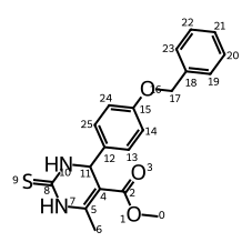 COC(=O)C1=C(C)NC(=S)NC1c1ccc(OCc2ccccc2)cc1